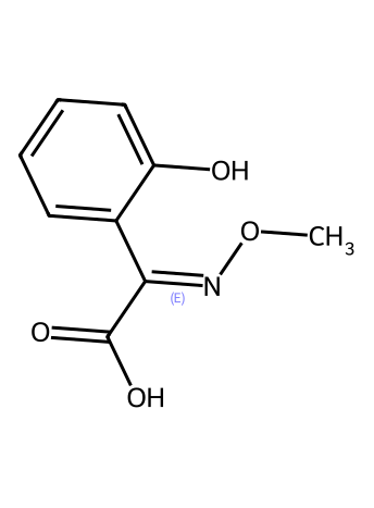 CO/N=C(/C(=O)O)c1ccccc1O